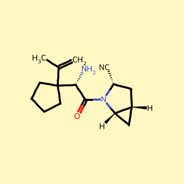 C=C(C)C1([C@H](N)C(=O)N2[C@H](C#N)C[C@@H]3C[C@@H]32)CCCC1